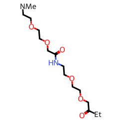 CCC(=O)COCCOCCNC(=O)COCCOCCNC